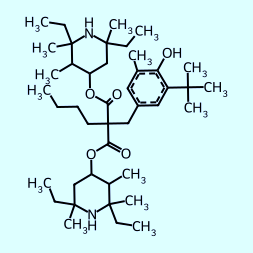 CCCCC(Cc1cc(C)c(O)c(C(C)(C)C)c1)(C(=O)OC1CC(C)(CC)NC(C)(CC)C1C)C(=O)OC1CC(C)(CC)NC(C)(CC)C1C